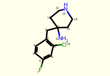 NC1(Cc2ccc(F)cc2Cl)CCNCC1